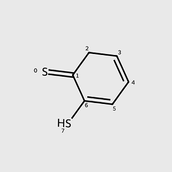 S=C1CC=CC=C1S